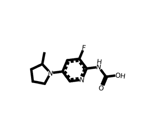 CC1CCCN1c1cnc(NC(=O)O)c(F)c1